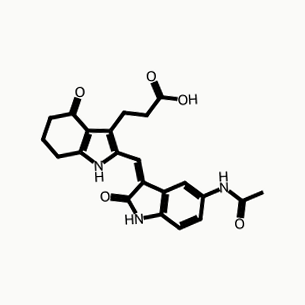 CC(=O)Nc1ccc2c(c1)C(=Cc1[nH]c3c(c1CCC(=O)O)C(=O)CCC3)C(=O)N2